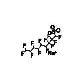 O=S(=O)([O-])C(F)C(F)(F)C(F)(F)C(F)C(F)C(F)C(F)C(F)C(F)F.[Na+]